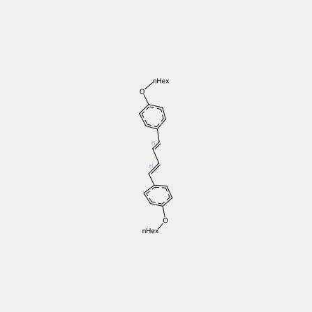 CCCCCCOc1ccc(/C=C/C=C/c2ccc(OCCCCCC)cc2)cc1